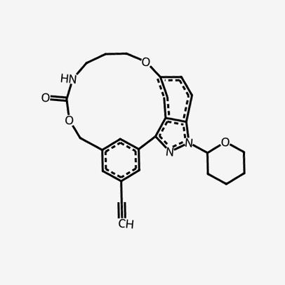 C#Cc1cc2cc(c1)-c1nn(C3CCCCO3)c3ccc(cc13)OCCCNC(=O)OC2